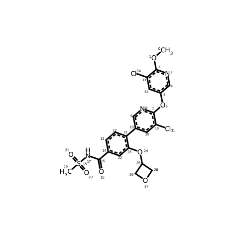 COc1ncc(Oc2ncc(-c3ccc(C(=O)NS(C)(=O)=O)cc3OC3COC3)cc2Cl)cc1Cl